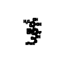 CCCCCOC(=O)Nc1nc(=O)n([C@@H]2O[C@H](C)[C@@H](O)[C@H]2O)cc1F.O=S(=O)(O)O